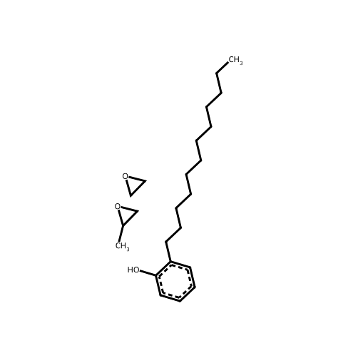 C1CO1.CC1CO1.CCCCCCCCCCCCc1ccccc1O